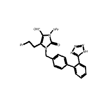 CCCn1c(C=O)c(CCC(C)C)n(Cc2ccc(-c3ccccc3-c3nnn[nH]3)cc2)c1=O